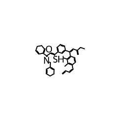 C=C/C=C\c1ccc(/C(=C\C(=C)CC)c2cccc(/C(S)=C3\OC4=C(C=CCC4)\C3=N\CC3=CCCC=C3)c2)c(C)c1C